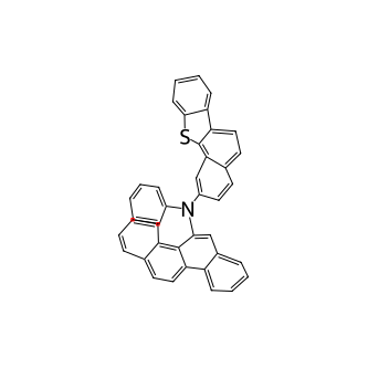 c1ccc(N(c2ccc3ccc4c5ccccc5sc4c3c2)c2cc3ccccc3c3ccc4ccccc4c23)cc1